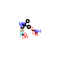 O=C(O)C(F)(F)F.O=C1NCC(COc2ccc(-c3c(-c4ccccc4)[nH]c4ncc(Br)cc34)cc2)O1